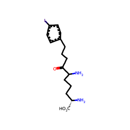 NC(CCC[C@H](N)C(=O)O)C(=O)CCCc1ccc(I)cc1